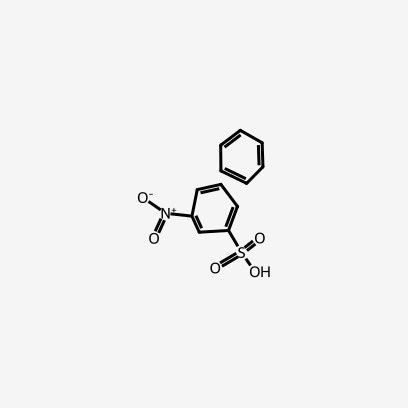 O=[N+]([O-])c1cccc(S(=O)(=O)O)c1.c1ccccc1